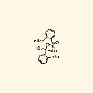 CCCCCCc1ccccc1S(=O)(=O)OC(CCCC)(CCCC)c1ccccc1CCCC